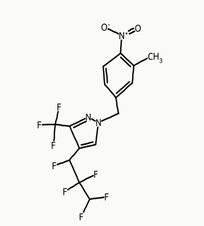 Cc1cc(Cn2cc(C(F)C(F)(F)C(F)F)c(C(F)(F)F)n2)ccc1[N+](=O)[O-]